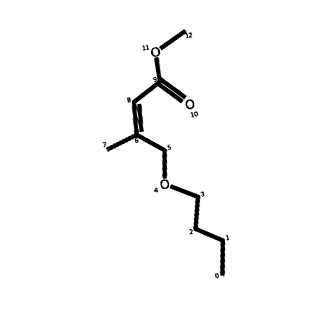 CCCCOC/C(C)=C\C(=O)OC